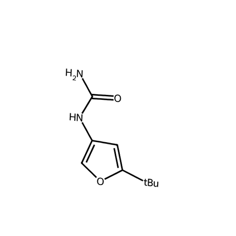 CC(C)(C)c1cc(NC(N)=O)co1